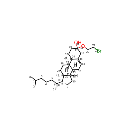 CC(C)CCC[C@@H](C)[C@H]1CC[C@H]2[C@@H]3CC=C4CC(O)(OCCBr)CC[C@]4(C)[C@H]3CC[C@]12C